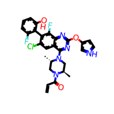 C=CC(=O)N1C[C@H](C)N(c2nc(Oc3cc[nH]c3)nc3c(F)c(-c4c(O)cccc4F)c(Cl)cc23)C[C@H]1C